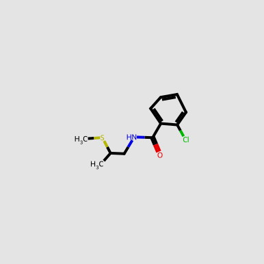 CSC(C)CNC(=O)c1ccccc1Cl